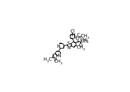 Cc1cc2nc(-c3ccnc(-c4cnc5c(c4)cc(C)n5C)c3)sc2c(-c2ccc(Cl)cc2)c1[C@H](OC(C)(C)C)C(=O)O